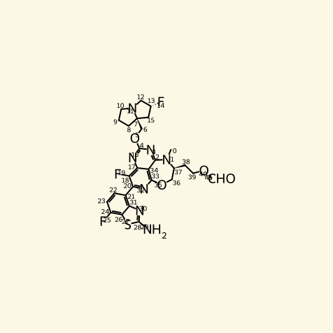 CN1c2nc(OC[C@@]34CCCN3C[C@H](F)C4)nc3c(F)c(-c4ccc(F)c5sc(N)nc45)nc(c23)OC[C@@H]1CCOC=O